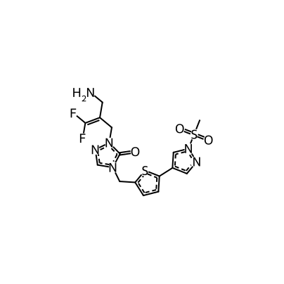 CS(=O)(=O)n1cc(-c2ccc(Cn3cnn(CC(CN)=C(F)F)c3=O)s2)cn1